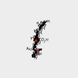 C#CCCCON(C(=O)[C@@H](NC(=O)[C@H]1CCCCN1C)[C@@H](C)CC)[C@H](C[C@@H](OC(C)=O)c1nc(C(=O)N[C@@H](Cc2ccc(NC(=O)CNC(=O)CNC(=O)CNC(=O)CNC(=O)[C@@H](N)CO)cc2)CC(C)(C)C(=O)O)cs1)C(C)C